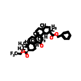 CC1(C)[C@@H](C(=O)OCC(F)(F)F)CC[C@]2(C)[C@H]3C(=O)C=C4[C@@H]5C[C@@](C)(C(=O)OCc6ccccc6)CC[C@]5(C)CC[C@@]4(C)[C@]3(C)CC[C@@H]12